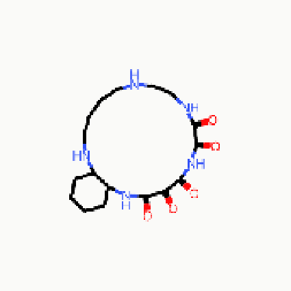 O=C1NCCNCCCCNC2CCCCC2NC(=O)C(=O)C(=O)NC1=O